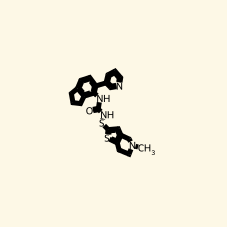 CN1CCc2sc(SNC(=O)Nc3c(-c4cccnc4)ccc4c3CCC4)cc2C1